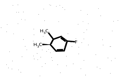 CC1C=C(F)C=C[C@H]1C